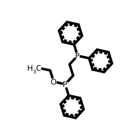 CCOP(CCP(c1ccccc1)c1ccccc1)c1ccccc1